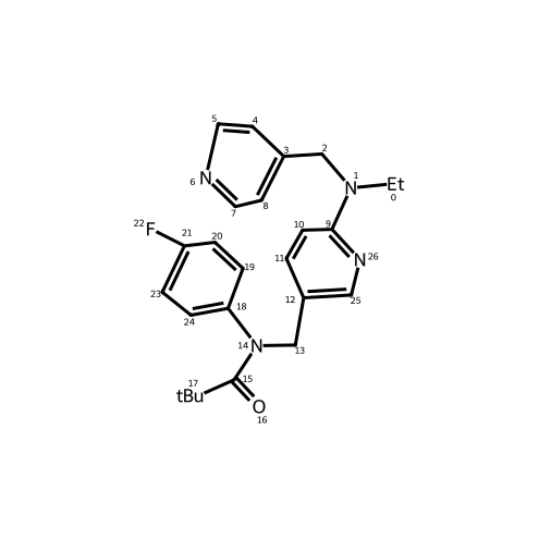 CCN(Cc1ccncc1)c1ccc(CN(C(=O)C(C)(C)C)c2ccc(F)cc2)cn1